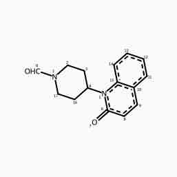 O=CN1CCC(n2c(=O)ccc3ccccc32)CC1